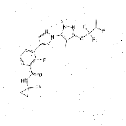 Cc1c(OC(F)(F)C(C)F)nn(C)c1-n1cc(-c2cccc(C(=O)NC3(C#N)CC3)c2F)cn1